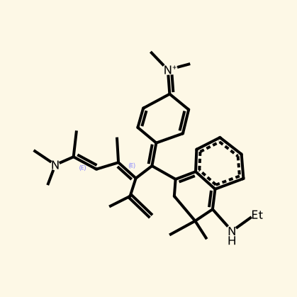 C=C(C)/C(C(=C1C=CC(=[N+](C)C)C=C1)C1=c2ccccc2=C(NCC)C(C)(C)C1)=C(C)\C=C(/C)N(C)C